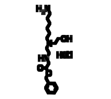 Cl.Cl.NCCCCCCN(CCO)CCNCC(=O)OCc1ccccc1